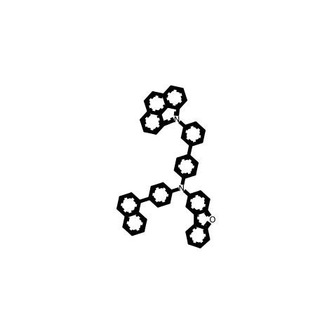 c1cc(-c2ccc(N(c3ccc(-c4cccc5ccccc45)cc3)c3ccc4oc5ccccc5c4c3)cc2)cc(-n2c3cccc4ccc5cccc2c5c43)c1